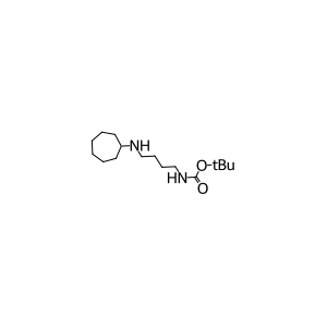 CC(C)(C)OC(=O)NCCCCNC1CCCCCC1